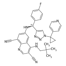 CC(C)(C)CNc1c(C#N)cnc2c(C#N)cc(N[C@@H](c3ccc(F)cc3)c3cn(C4(c5ccncc5)CC4)nn3)cc12